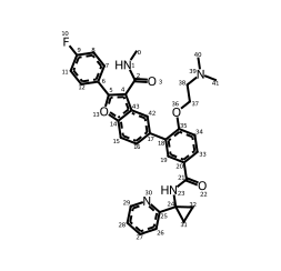 CNC(=O)c1c(-c2ccc(F)cc2)oc2ccc(-c3cc(C(=O)NC4(c5ccccn5)CC4)ccc3OCCN(C)C)cc12